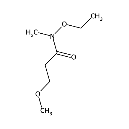 CCON(C)C(=O)CCOC